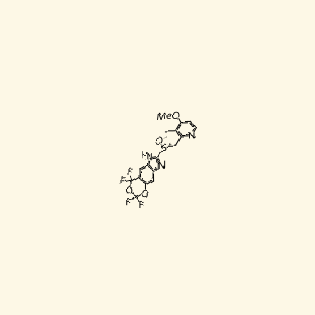 COc1ccnc(C[S+]([O-])c2nc3cc4c(cc3[nH]2)C(F)(F)OC(F)(F)O4)c1C